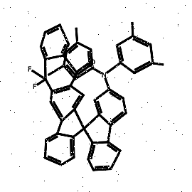 Cc1cc(C)cc(N(c2cc(C)cc(C)c2)c2ccc3c(c2)C2(c4ccccc4-3)c3ccccc3-c3cc4c(cc32)C(=O)c2ccccc2C4(F)F)c1